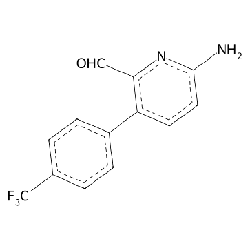 Nc1ccc(-c2ccc(C(F)(F)F)cc2)c(C=O)n1